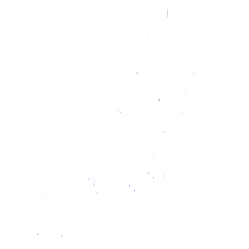 COc1ccc(OC)c(-c2ccc3c(NC(=O)C4CCCC4)n[nH]c3c2)c1